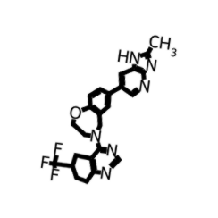 Cc1nc2ncc(-c3ccc4c(c3)CN(c3ncnc5c3CC(C(F)(F)F)CC5)CCO4)cc2[nH]1